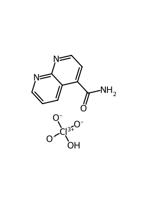 NC(=O)c1ccnc2ncccc12.[O-][Cl+3]([O-])([O-])O